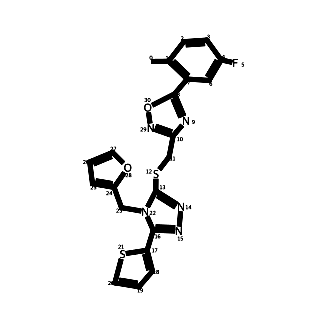 Cc1ccc(F)cc1-c1nc(CSc2nnc(-c3cccs3)n2Cc2ccco2)no1